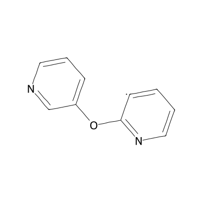 [c]1cccnc1Oc1cccnc1